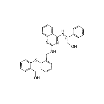 OCc1ccccc1Sc1ccccc1CNc1nc(N[C@@H](CO)c2ccccc2)c2ccccc2n1